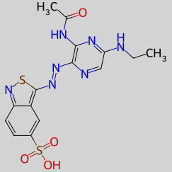 CCNc1cnc(N=Nc2snc3ccc(S(=O)(=O)O)cc23)c(NC(C)=O)n1